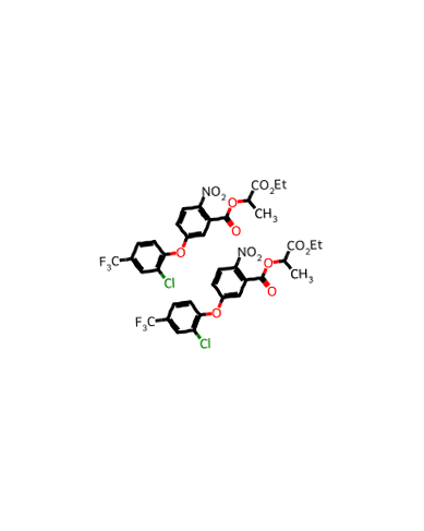 CCOC(=O)C(C)OC(=O)c1cc(Oc2ccc(C(F)(F)F)cc2Cl)ccc1[N+](=O)[O-].CCOC(=O)C(C)OC(=O)c1cc(Oc2ccc(C(F)(F)F)cc2Cl)ccc1[N+](=O)[O-]